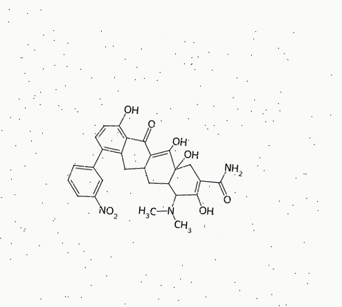 CN(C)C1C(O)=C(C(N)=O)CC2(O)C(O)=C3C(=O)c4c(O)ccc(-c5cccc([N+](=O)[O-])c5)c4CC3CC12